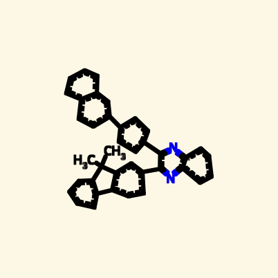 CC1(C)c2ccccc2-c2ccc(-c3nc4ccccc4nc3-c3ccc(-c4ccc5ccccc5c4)cc3)cc21